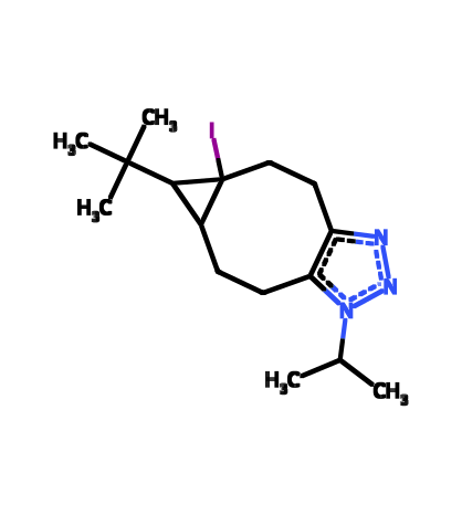 CC(C)n1nnc2c1CCC1C(C(C)(C)C)C1(I)CC2